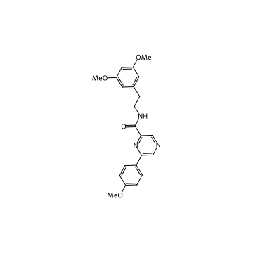 COc1ccc(-c2cncc(C(=O)NCCc3cc(OC)cc(OC)c3)n2)cc1